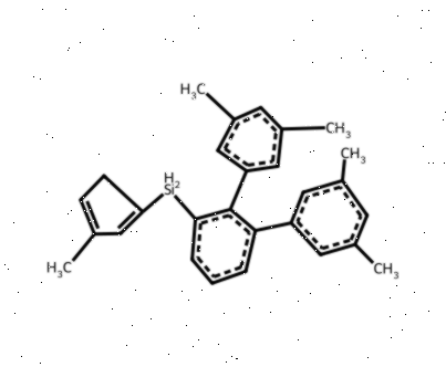 CC1=CCC([SiH2]c2cccc(-c3cc(C)cc(C)c3)c2-c2cc(C)cc(C)c2)=C1